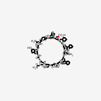 CCCC[C@H]1C(=O)N(C)[C@@H](CCCC)C(=O)N[C@@H](CC(C)C)C(=O)N[C@H](C(=O)NCC(N)=O)CSCC(=O)N[C@@H](Cc2ccc(O)cc2)C(=O)N(C)[C@@H](C)C(=O)N[C@@H](CC(N)=O)C(=O)N2CCC[C@H]2C(=O)N[C@@H](Cc2cnc[nH]2)C(=O)N[C@@H](CCC(=O)O)C(=O)N(Cc2ccccc2)CC(=O)N[C@@H](Cc2c[nH]c3ccccc23)C(=O)N[C@@H](CCN)C(=O)N[C@@H](Cc2c[nH]c3ccccc23)C(=O)N1C